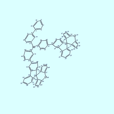 c1ccc(-c2cccc(N(c3ccc(-c4ccc5c(c4)-c4ccccc4C54c5ccccc5Oc5ccccc54)cc3)c3cccc(-c4ccc5c(c4)-c4ccccc4C54c5ccccc5Oc5ccccc54)c3)c2)cc1